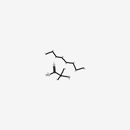 CC(C)(Br)C(=O)O.CCCCCCCC